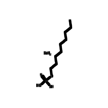 CCCCCCCCCOP(O)(=S)S.[BaH2]